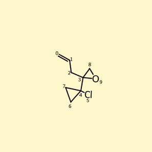 C=CCC1(C2(Cl)CC2)CO1